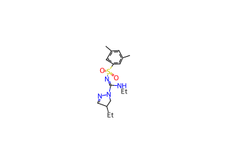 CCN/C(=N\S(=O)(=O)c1cc(C)cc(C)c1)N1CC(CC)C=N1